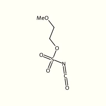 COCCOS(=O)(=O)N=C=O